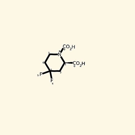 O=C(O)[C@H]1CC(F)(F)CCN1C(=O)O